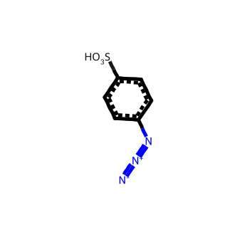 [N-]=[N+]=Nc1ccc(S(=O)(=O)O)cc1